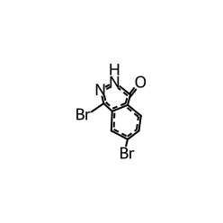 O=c1[nH]nc(Br)c2cc(Br)ccc12